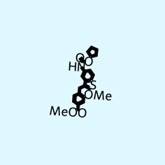 COC(=O)c1ccc(Cc2csc3ccc(NC(=O)OC4CCCC4)cc23)c(OC)c1